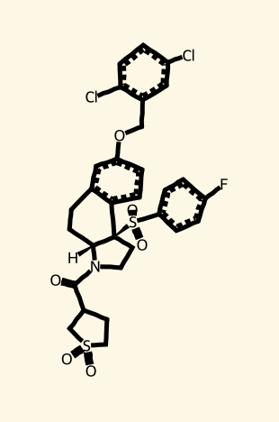 O=C(C1CCS(=O)(=O)C1)N1CC[C@@]2(S(=O)(=O)c3ccc(F)cc3)c3ccc(OCc4cc(Cl)ccc4Cl)cc3CC[C@@H]12